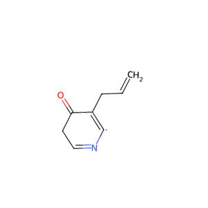 C=CCC1=[C]N=CCC1=O